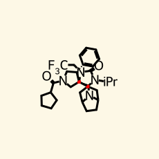 CC(C)N1C(=O)N(CC(F)(F)F)CC12CC1CCC(C2)N1C[C@H]1CN(C(=O)C2CCCC2)C[C@@H]1c1ccccc1